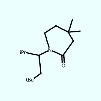 CC(C)C(CC(C)(C)C)N1CCC(C)(C)CC1=O